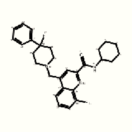 O=C(NC1CCCCC1)c1cc(CN2CCC(F)(c3ccccc3)CC2)c2cccc(F)c2n1